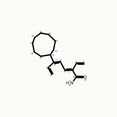 C=C/C(=C\C=C(/C=C)C(N)=O)C1CCCCCCCC1